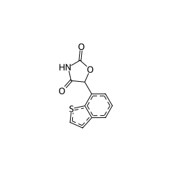 O=C1NC(=O)C(c2cccc3ccsc23)O1